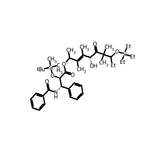 CCC(O[Si](CC)(CC)CC)C(C)(C)C(=O)[C@H](O)/C(C)=C(\C)C(C)OC(=O)[C@H](O[Si](C)(C)C(C)(C)C)[C@@H](NC(=O)c1ccccc1)c1ccccc1